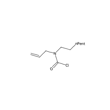 C=CCN(CCCCCCC)C(=O)Cl